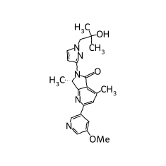 COc1cncc(-c2cc(C)c3c(n2)[C@H](C)N(c2ccn(CC(C)(C)O)n2)C3=O)c1